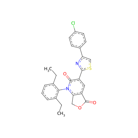 CCc1cccc(CC)c1-n1c2c(cc(-c3nc(-c4ccc(Cl)cc4)cs3)c1=O)C(=O)OC2